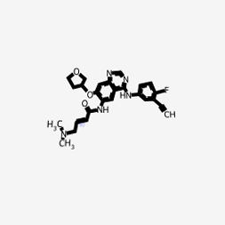 C#Cc1cc(Nc2ncnc3cc(OC4CCOC4)c(NC(=O)/C=C/CN(C)C)cc23)ccc1F